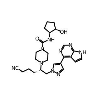 N#CCCC[C@@H](Cn1cc(-c2ncnc3[nH]ccc23)cn1)N1CCN(C(=O)N[C@H]2CCC[C@H]2O)CC1